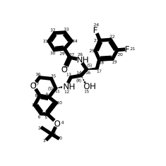 CC(C)(C)Oc1ccc2c(c1)[C@@H](NC[C@@H](O)[C@H](Cc1cc(F)cc(F)c1)NC(=O)c1ccccc1)CCO2